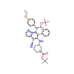 CCOc1ccc(N(C(=O)OC(C)(C)C)c2c(-c3ccccc3)c(NC3CCCN(C(=O)OC(C)(C)C)C3)c(C#N)c3ccnn23)cc1